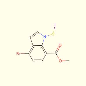 COC(=O)c1ccc(Br)c2ccn(SI)c12